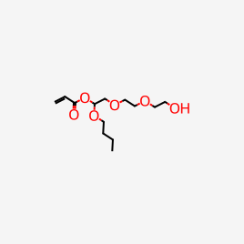 C=CC(=O)OC(COCCOCCO)OCCCC